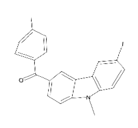 Cc1ccc(C(=O)c2ccc3c(c2)c2cc(I)ccc2n3C)cc1